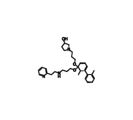 Cc1ccccc1C1=CC=CC(OCCCNCCc2ccccn2)(OCCCN2CC[C@@H](O)C2)C1C